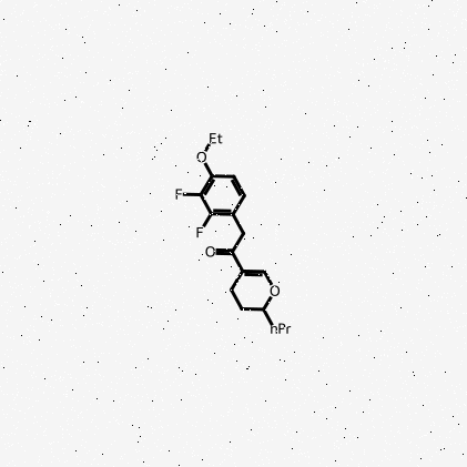 CCCC1CCC(C(=O)Cc2ccc(OCC)c(F)c2F)=CO1